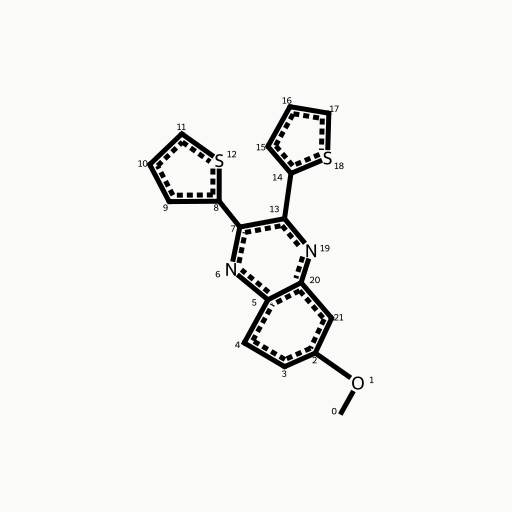 COc1ccc2nc(-c3cccs3)c(-c3cccs3)nc2c1